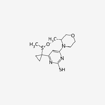 CC1COCCN1c1cc(C2([S+](C)[O-])CC2)nc(S)n1